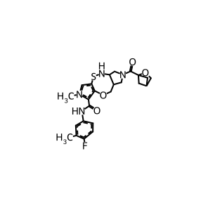 Cc1cc(NC(=O)c2c3c(cn2C)SNC2CN(C(=O)C45CC(CO4)C5)CC2CO3)ccc1F